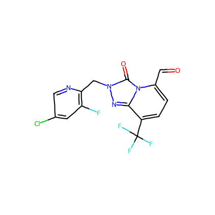 O=Cc1ccc(C(F)(F)F)c2nn(Cc3ncc(Cl)cc3F)c(=O)n12